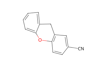 N#Cc1ccc2c(c1)Cc1ccccc1O2